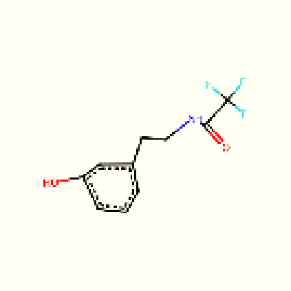 O=C(NCCc1cccc(O)c1)C(F)(F)F